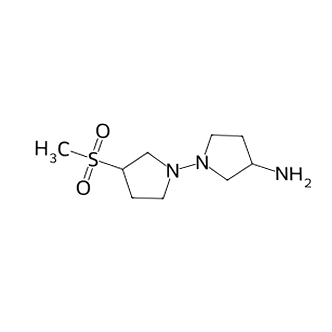 CS(=O)(=O)C1CCN(N2CCC(N)C2)C1